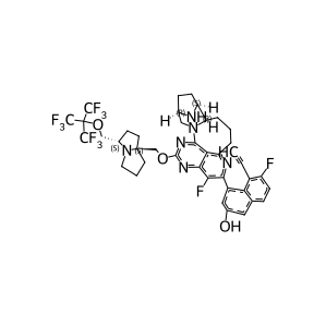 C#Cc1c(F)ccc2cc(O)cc(-c3nc4c5c(nc(OC[C@@]67CCCN6[C@H](COC(C(F)(F)F)(C(F)(F)F)C(F)(F)F)CC7)nc5c3F)N3C[C@H]5CC[C@H](N5)[C@H]3CCC4)c12